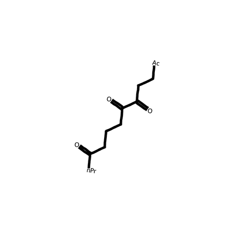 CCCC(=O)CCCC(=O)C(=O)CCC(C)=O